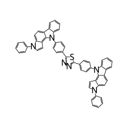 c1ccc(-n2ccc3c2ccc2c4ccccc4n(-c4ccc(-c5nnc(-c6ccc(-n7c8ccccc8c8ccc9c(ccn9-c9ccccc9)c87)cc6)s5)cc4)c23)cc1